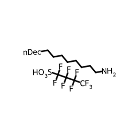 CCCCCCCCCCCCCCCCCCN.O=S(=O)(O)C(F)(F)C(F)(F)C(F)(F)C(F)(F)F